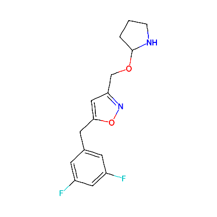 Fc1cc(F)cc(Cc2cc(COC3CCCN3)no2)c1